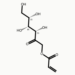 C=CC(=O)OCC(=O)[C@@H](O)[C@H](O)[C@@H](O)CO